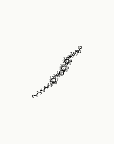 CCCCCCCCCC[C@H]1CC[C@H](CCCO[C@H]2CC[C@H](c3ccc(CCCCCCC)cc3)CC2)CC1